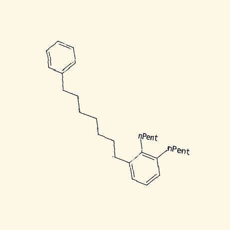 CCCCCc1cccc([CH]CCCCCCc2ccccc2)c1CCCCC